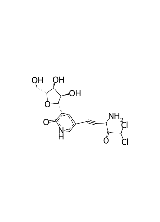 NC(C#Cc1c[nH]c(=O)c([C@@H]2O[C@H](CO)[C@@H](O)[C@H]2O)c1)C(=O)C(Cl)Cl